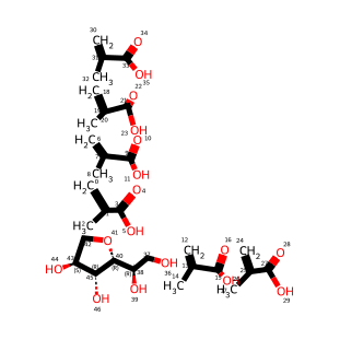 C=C(C)C(=O)O.C=C(C)C(=O)O.C=C(C)C(=O)O.C=C(C)C(=O)O.C=C(C)C(=O)O.C=C(C)C(=O)O.OC[C@@H](O)[C@H]1OC[C@H](O)[C@H]1O